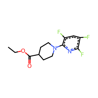 CCOC(=O)C1CCN(c2nc(F)c(F)cc2F)CC1